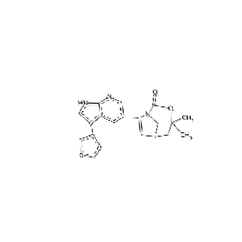 CC1(C)CC2C=C(c3cnc4[nH]cc(-c5ccoc5)c4c3)N(C2)C(=O)O1